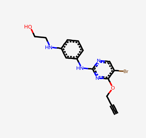 C#CCOc1nc(Nc2cccc(NCCO)c2)ncc1Br